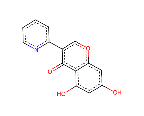 O=c1c(-c2ccccn2)coc2cc(O)cc(O)c12